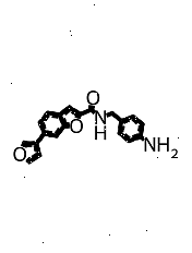 Nc1ccc(CNC(=O)c2cc3ccc(-c4ccoc4)cc3o2)cc1